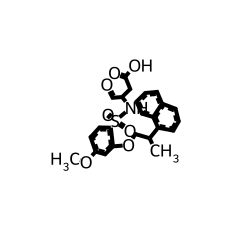 COc1ccc(S(=O)(=O)NC(C=O)CC(=O)O)c(OCC(C)c2cccc3ccccc23)c1